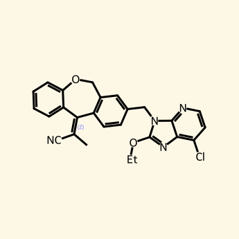 CCOc1nc2c(Cl)ccnc2n1Cc1ccc2c(c1)COc1ccccc1/C2=C(/C)C#N